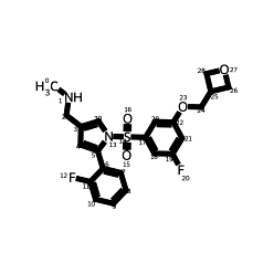 CNCc1cc(-c2ccccc2F)n(S(=O)(=O)c2cc(F)cc(OCC3COC3)c2)c1